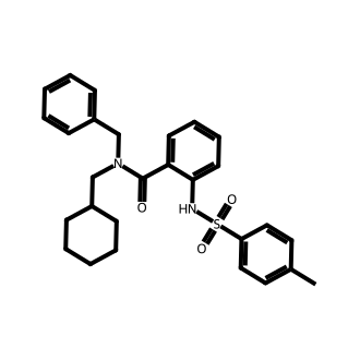 Cc1ccc(S(=O)(=O)Nc2ccccc2C(=O)N(Cc2ccccc2)CC2CCCCC2)cc1